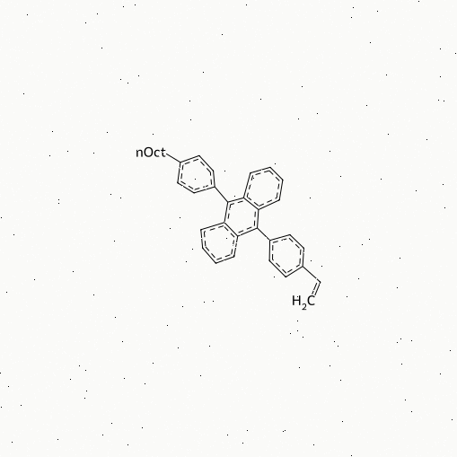 C=Cc1ccc(-c2c3ccccc3c(-c3ccc(CCCCCCCC)cc3)c3ccccc23)cc1